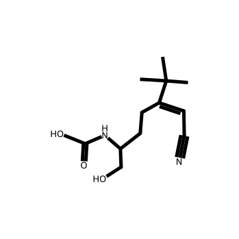 CC(C)(C)C(=CC#N)CCC(CO)NC(=O)O